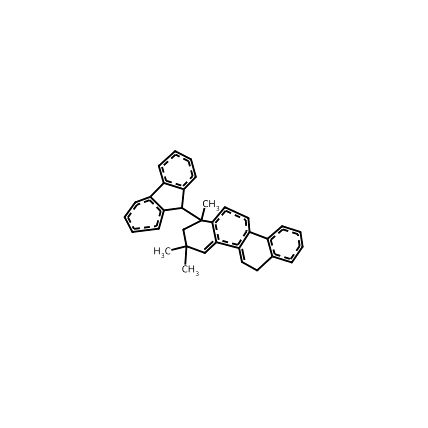 CC1(C)C=c2c(ccc3c2=CCc2ccccc2-3)C(C)(C2c3ccccc3-c3ccccc32)C1